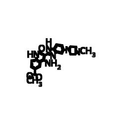 COC(=O)c1ccc2[nH]c(=O)c(-c3nc4cc(N5CCN(C)CC5)ccc4[nH]3)c(N)c2c1